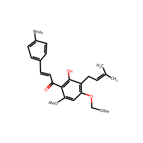 COCOc1cc(OC)c(C(=O)C=Cc2ccc(NC(C)=O)cc2)c(O)c1CC=C(C)C